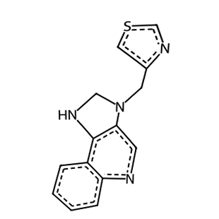 c1ccc2c3c(cnc2c1)N(Cc1cscn1)CN3